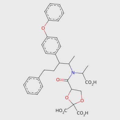 CC(C(=O)O)N(C(=O)C1COC(C(=O)O)(C(=O)O)O1)C(C)C(CCc1ccccc1)c1ccc(Oc2ccccc2)cc1